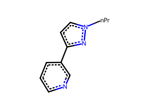 [CH2]CCn1ccc(-c2cccnc2)n1